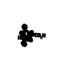 CN1CC(=O)N2[C@@H](CCC(=O)O)C(=O)N3CC(c4ccccc4)c4cccc(c4)C(O)(NCc4ccccc4)N1[C@H]2C3